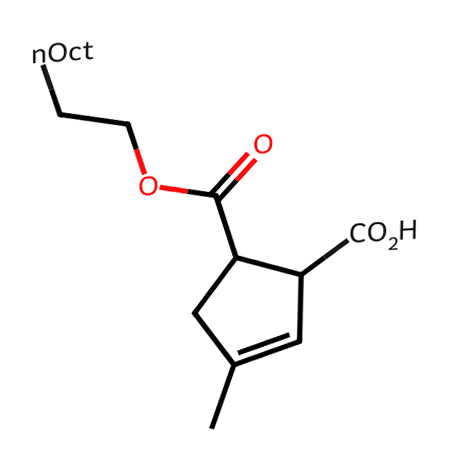 CCCCCCCCCCOC(=O)C1CC(C)=CC1C(=O)O